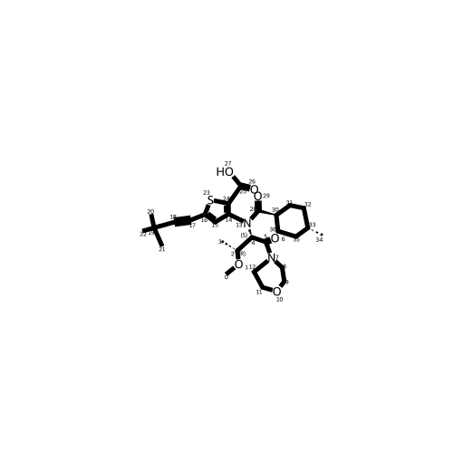 CO[C@H](C)[C@@H](C(=O)N1CCOCC1)N(c1cc(C#CC(C)(C)C)sc1C(=O)O)C(=O)[C@H]1CC[C@H](C)CC1